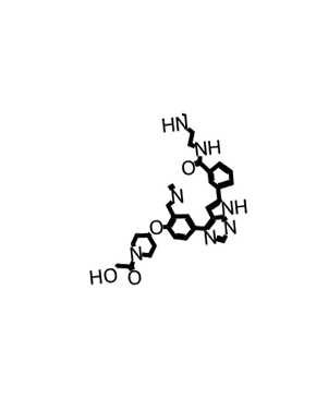 C=NCc1cc(-c2ncnc3[nH]c(-c4cccc(C(=O)NCCNC)c4)cc23)ccc1OC1CCN(C(=O)CO)CC1